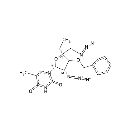 CC[C@@]1(CN=[N+]=[N-])O[C@@H](n2cc(C)c(=O)[nH]c2=O)[C@@H](N=[N+]=[N-])C1OCc1ccccc1